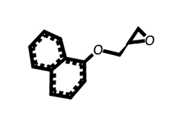 c1ccc2c(OC[C@H]3CO3)cccc2c1